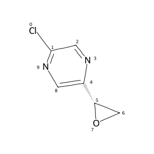 Clc1cnc([C@@H]2CO2)cn1